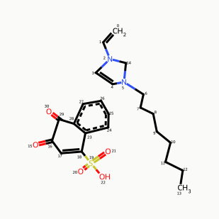 C=CN1C=CN(CCCCCCCC)C1.O=C1C=C(S(=O)(=O)O)c2ccccc2C1=O